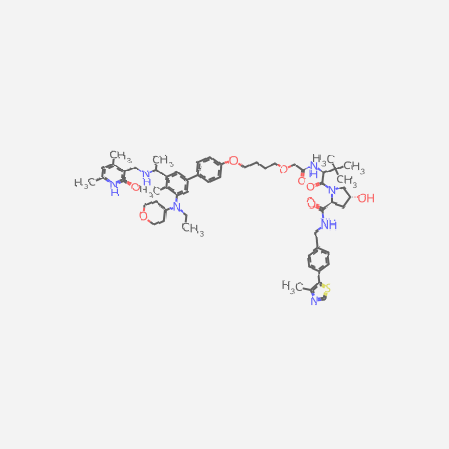 CCN(c1cc(-c2ccc(OCCCCOCC(=O)N[C@H](C(=O)N3C[C@H](O)C[C@H]3C(=O)NCc3ccc(-c4scnc4C)cc3)C(C)(C)C)cc2)cc(C(C)NCc2c(C)cc(C)[nH]c2=O)c1C)C1CCOCC1